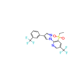 CCS(=O)(=O)c1cc(C(F)(F)F)cnc1-n1cc(-c2cccc(C(F)(F)F)c2)cn1